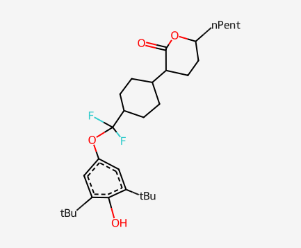 CCCCCC1CCC(C2CCC(C(F)(F)Oc3cc(C(C)(C)C)c(O)c(C(C)(C)C)c3)CC2)C(=O)O1